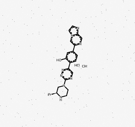 CC(C)[C@H]1CN(c2ncc(-c3ccc(-c4cn5ccnc5cn4)cc3O)nn2)CCN1.Cl.Cl